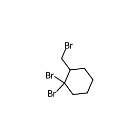 BrCC1CCCCC1(Br)Br